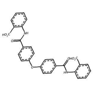 O=C(Nc1ccccc1C(=O)O)c1ccc(Oc2ccc(C(=O)Nc3ccccc3C(=O)O)cc2)cc1